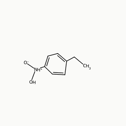 CCc1ccc([NH+]([O-])O)cc1